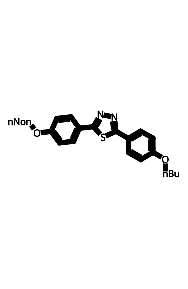 CCCCCCCCCOc1ccc(-c2nnc(-c3ccc(OCCCC)cc3)s2)cc1